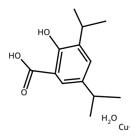 CC(C)c1cc(C(=O)O)c(O)c(C(C)C)c1.O.[Cu]